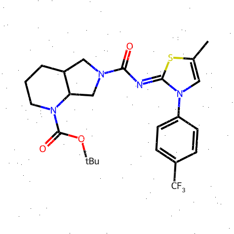 Cc1cn(-c2ccc(C(F)(F)F)cc2)c(=NC(=O)N2CC3CCCN(C(=O)OC(C)(C)C)C3C2)s1